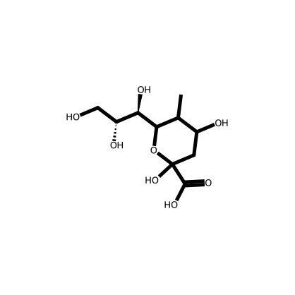 CC1C(O)CC(O)(C(=O)O)OC1[C@H](O)[C@H](O)CO